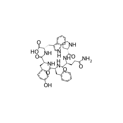 NC(=O)CC[C@H](NC(=O)[C@@H]1CCCN1)C(=O)N[C@@H](Cc1ccccc1)C(=O)N[C@@H](Cc1ccc(O)cc1)C(=O)N[C@@H](Cc1c[nH]c2ccccc12)C(=O)O